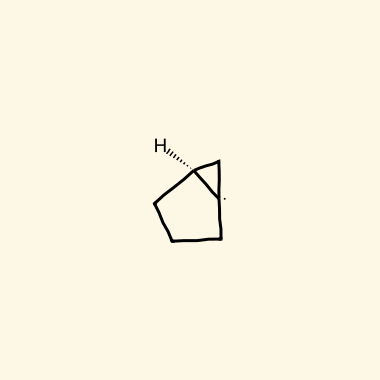 C1C[C]2C[C@@H]2C1